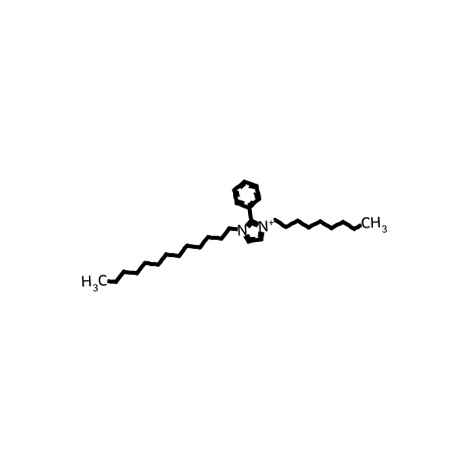 CCCCCCCCCCCCCn1cc[n+](CCCCCCCCC)c1-c1ccccc1